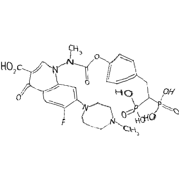 CN1CCN(c2cc3c(cc2F)c(=O)c(C(=O)O)cn3N(C)C(=O)Oc2ccc(CC(P(=O)(O)O)P(=O)(O)O)cc2)CC1